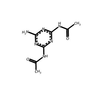 CC(=O)Nc1nc(N)nc(NC(C)=O)n1